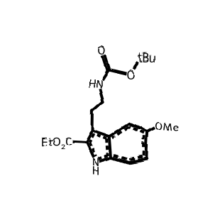 CCOC(=O)c1[nH]c2ccc(OC)cc2c1CCNC(=O)OC(C)(C)C